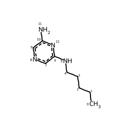 CCCCCNc1cncc(N)n1